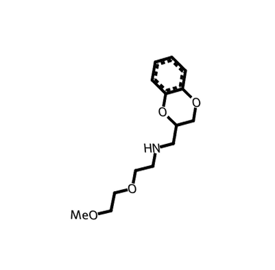 COCCOCCNCC1COc2ccccc2O1